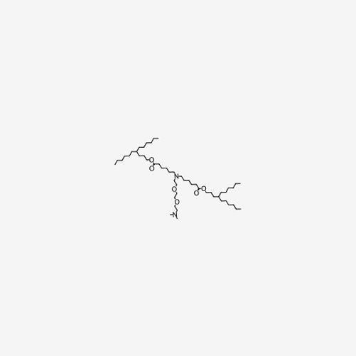 CCCCCCC(CCCCCC)CCCOC(=O)CCCCCN(CCCCCC(=O)OCCCC(CCCCCC)CCCCCC)CCOCCOCCN(C)C